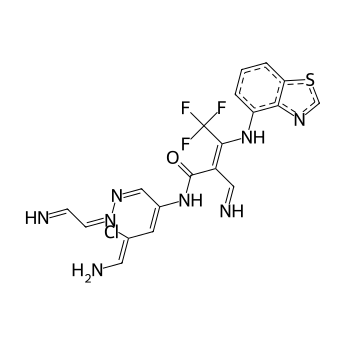 N=C\C=N/N=C\C(=C/C(Cl)=C/N)NC(=O)/C(C=N)=C(/Nc1cccc2scnc12)C(F)(F)F